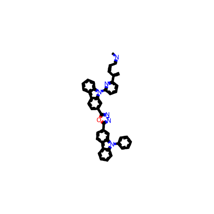 C=C(/C=C\C=N/C)c1cccc(-n2c3ccccc3c3ccc(-c4nnc(-c5ccc6c7ccccc7n(-c7ccccc7)c6c5)o4)cc32)n1